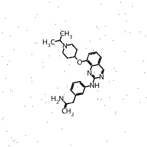 C=C(N)Cc1cccc(Nc2ncc3cccc(OC4CCN(C(C)C)CC4)c3n2)c1